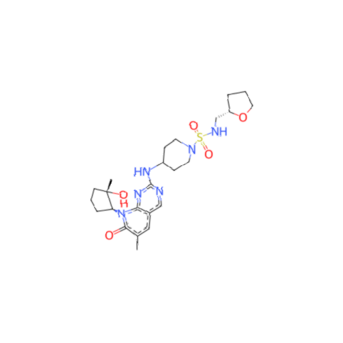 Cc1cc2cnc(NC3CCN(S(=O)(=O)NC[C@@H]4CCCO4)CC3)nc2n([C@H]2CCC[C@]2(C)O)c1=O